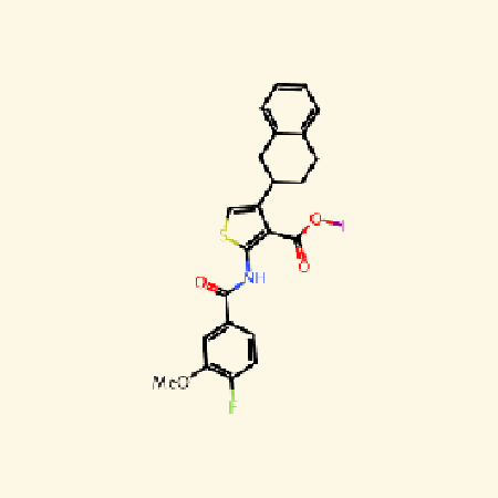 COc1cc(C(=O)Nc2scc(C3CCc4ccccc4C3)c2C(=O)OI)ccc1F